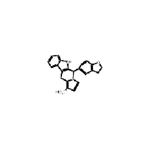 O=C(O)c1ccn2c1Cc1c([nH]c3ccccc13)C2c1ccc2c(c1)CCO2